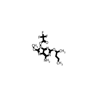 CCCC(C)Oc1nc(N)c2nc(OC)n(OC(=O)C(F)(F)F)c2n1